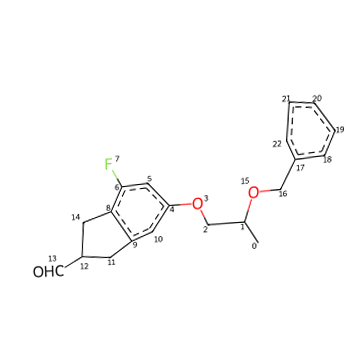 CC(COc1cc(F)c2c(c1)CC(C=O)C2)OCc1ccccc1